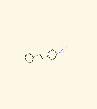 O=CN(C=O)c1ccc(C=Cc2ccccc2)cc1